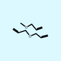 C=CCOC.C=CCOCC=C